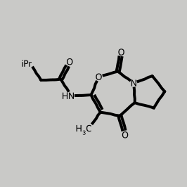 CC1=C(NC(=O)CC(C)C)OC(=O)N2CCCC2C1=O